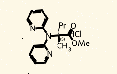 COC(=O)[C@](C)(C(C)C)N(c1ccccn1)c1ccccn1.Cl